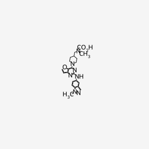 CN(CC1CCN(c2nc(Nc3ccc4c(cnn4C)c3)nc3ccoc23)CC1)C(=O)O